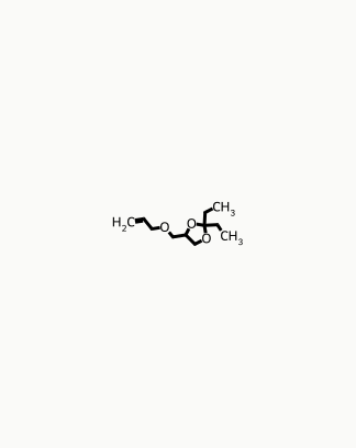 C=CCOCC1COC(CC)(CC)O1